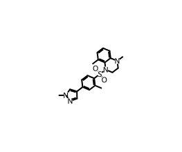 Cc1cc(-c2cnn(C)c2)ccc1S(=O)(=O)N1CCN(C)c2cccc(C)c21